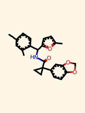 Cc1ccc(C(NC(=O)C2(c3ccc4c(c3)OCO4)CC2)c2ccc(C)o2)c(C)c1